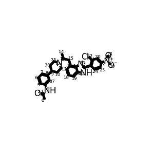 CC(=O)Nc1cccc(C2CCN(C(C)Cc3cccc4[nH]c(-c5ccc([N+](=O)[O-])cc5Cl)nc34)CC2)c1